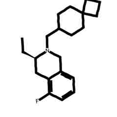 CC[C@@H]1Cc2c(F)cccc2CN1CC1CCC2(CCC2)CC1